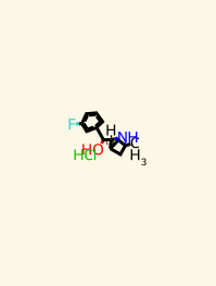 CC12CC(C1)[C@@H](C(O)c1cccc(F)c1)N2.Cl